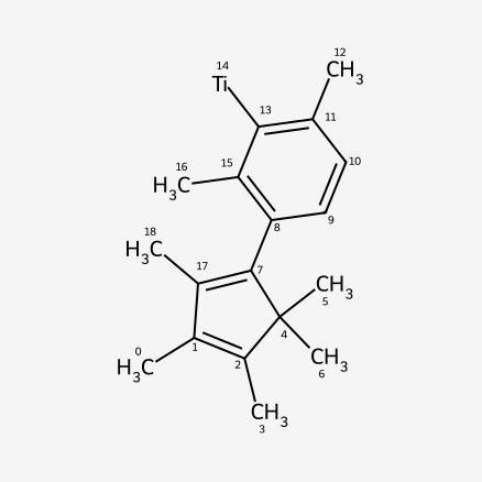 CC1=C(C)C(C)(C)C(c2ccc(C)[c]([Ti])c2C)=C1C